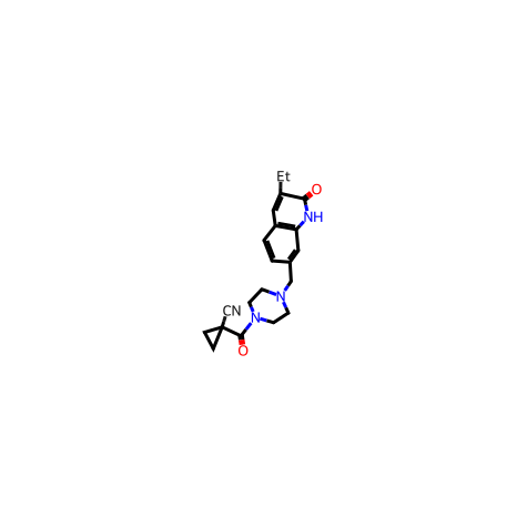 CCc1cc2ccc(CN3CCN(C(=O)C4(C#N)CC4)CC3)cc2[nH]c1=O